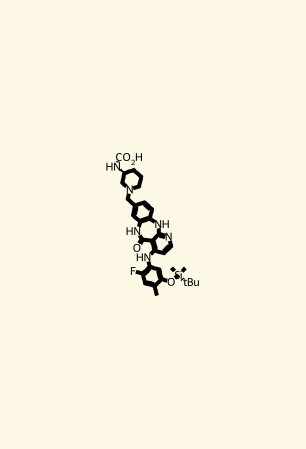 Cc1cc(F)c(Nc2ccnc3c2C(=O)Nc2cc(CN4CCC[C@H](NC(=O)O)C4)ccc2N3)cc1O[Si](C)(C)C(C)(C)C